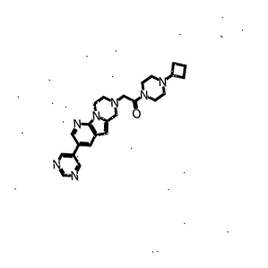 O=C(CN1CCn2c(cc3cc(-c4cncnc4)cnc32)C1)N1CCN(C2CCC2)CC1